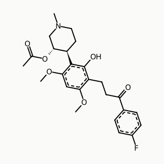 COc1cc(OC)c([C@@H]2CCN(C)C[C@H]2OC(C)=O)c(O)c1CCC(=O)c1ccc(F)cc1